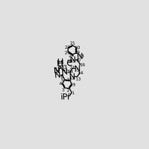 CC(C)Cc1ccc(-c2nn[nH]n2)c(N2CCN(Cc3nc4ccccc4n3C)CC2)c1